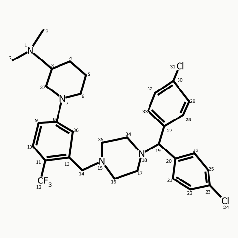 CN(C)C1CCCN(c2ccc(C(F)(F)F)c(CN3CCN(C(c4ccc(Cl)cc4)c4ccc(Cl)cc4)CC3)c2)C1